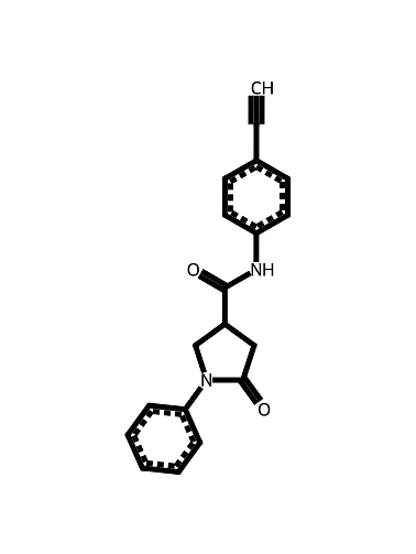 C#Cc1ccc(NC(=O)C2CC(=O)N(c3ccccc3)C2)cc1